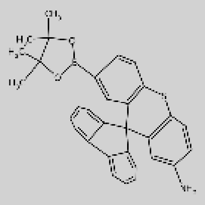 CC1(C)OB(c2ccc3c(c2)C2(c4cc(N)ccc4S3)c3ccccc3-c3ccccc32)OC1(C)C